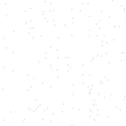 Cl.NCCCCC(N)C(=O)NC(CCCCN)C(=O)OCc1ccccc1